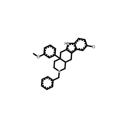 COc1cccc(C23CCN(Cc4ccccc4)CC2Cc2c([nH]c4ccc(Cl)cc24)C3)c1